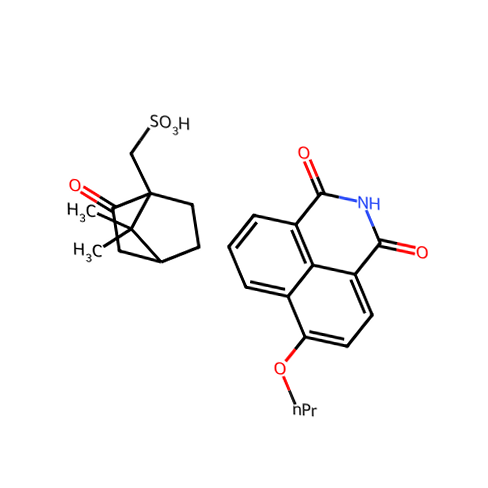 CC1(C)C2CCC1(CS(=O)(=O)O)C(=O)C2.CCCOc1ccc2c3c(cccc13)C(=O)NC2=O